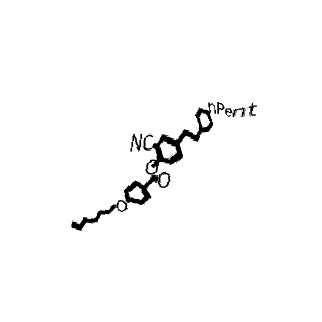 C=CCCCCCOc1ccc(C(=O)Oc2ccc(CCC3CCC(CCCCC)CC3)cc2C#N)cc1